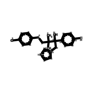 CC(C)(CSc1ccc(Cl)cc1)C(O)(Cn1ccnc1)c1ccc(Cl)cc1